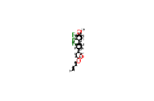 CCCCCOC1CCC(c2ccc(-c3ccc(OC)c(F)c3F)c(F)c2)CO1